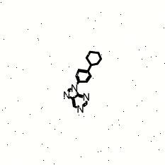 c1ncc2ncn(-c3ccc(C4CCCCC4)cc3)c2n1